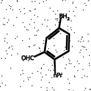 Bc1ccc(CCC)c(C=O)c1